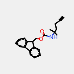 C#CCCC(C)(C)NC(=O)OCC1c2ccccc2-c2ccccc21